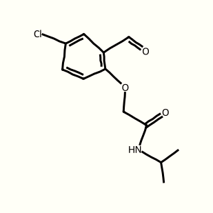 CC(C)NC(=O)COc1ccc(Cl)cc1C=O